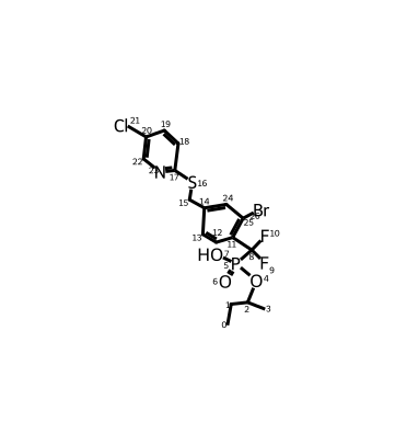 CCC(C)OP(=O)(O)C(F)(F)c1ccc(CSc2ccc(Cl)cn2)cc1Br